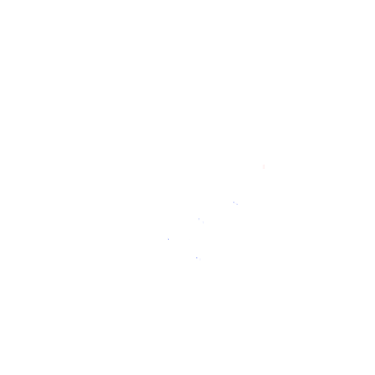 OC(CNc1nc(Nc2ccc(Cl)c(Cl)c2)ncc1C(F)(F)F)c1ccccc1